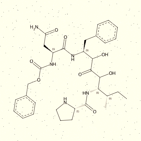 CC[C@H](C)[C@H](NC(=O)[C@@H]1CCCN1)C(O)C(=O)C(O)[C@H](Cc1ccccc1)NC(=O)[C@H](CC(N)=O)NC(=O)OCc1ccccc1